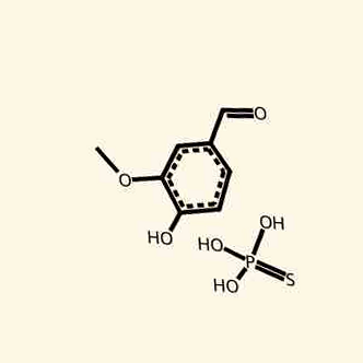 COc1cc(C=O)ccc1O.OP(O)(O)=S